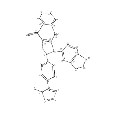 Cn1cncc1-c1ccc(N2Cc3c([nH]c4ccccc4c3=O)C2c2ccc3c(c2)CCO3)nc1